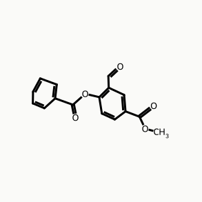 COC(=O)c1ccc(OC(=O)c2ccccc2)c(C=O)c1